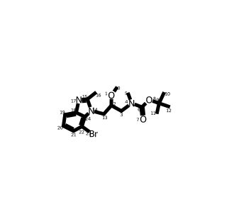 COC(CN(C)C(=O)OC(C)(C)C)Cn1c(C)nc2cccc(Br)c21